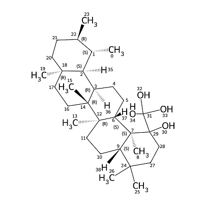 C[C@@H]1[C@H]2[C@H]3CC[C@@H]4[C@]5(C)[C@@H](CC[C@@]4(C)[C@]3(C)CC[C@@]2(C)CC[C@H]1C)C(C)(C)CCC5(O)C(O)(O)O